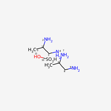 CC(N)CN.CC(N)CN.O=S(=O)(O)O